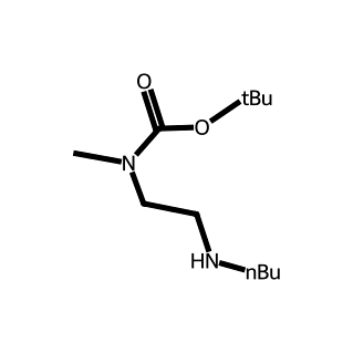 CCCCNCCN(C)C(=O)OC(C)(C)C